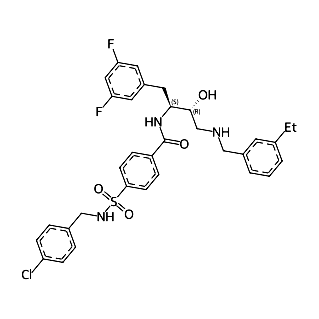 CCc1cccc(CNC[C@@H](O)[C@H](Cc2cc(F)cc(F)c2)NC(=O)c2ccc(S(=O)(=O)NCc3ccc(Cl)cc3)cc2)c1